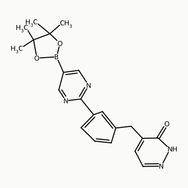 CC1(C)OB(c2cnc(-c3cccc(Cc4ccn[nH]c4=O)c3)nc2)OC1(C)C